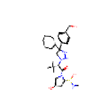 CN[S+]([O-])[C@@H]1C[C@@H](O)CN1C(=O)[C@@H](N1CC(c2ccc(CO)cc2)(C2CCCCCC2)NN1)C(C)(C)C